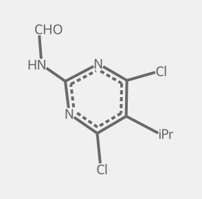 CC(C)c1c(Cl)nc(NC=O)nc1Cl